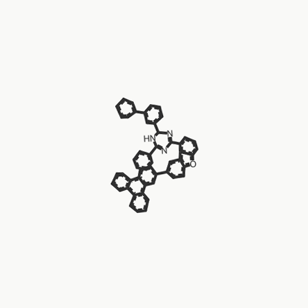 c1ccc(C2=NC(c3cccc4oc5ccc(-c6ccc7c8ccccc8c8ccccc8c7c6)cc5c34)=NC(c3cccc(-c4ccccc4)c3)N2)cc1